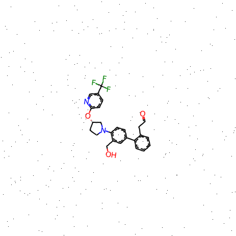 O=CCc1ccccc1-c1ccc(N2CC[C@H](Oc3ccc(C(F)(F)F)cn3)C2)c(CO)c1